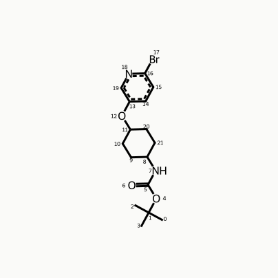 CC(C)(C)OC(=O)NC1CCC(Oc2ccc(Br)nc2)CC1